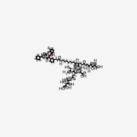 Cc1c(-c2cccc(CCC(=O)NCCCCCCCC(=O)N[C@H](CCC(=O)NC[C@H](O)[C@@H](O)[C@H](O)[C@H](O)CO)C(=O)N[C@H](CCC(=O)O)C(=O)N[C@H](CCC(=O)NC[C@H](O)[C@@H](O)[C@H](O)[C@H](O)CO)C(=O)N[C@@H](C)CS)c2)c(=O)n(C[C@@H](N)c2ccccc2)c(=O)n1Cc1c(F)cccc1F